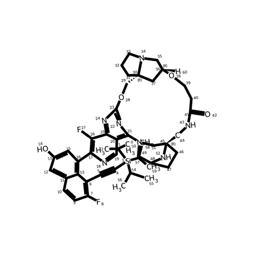 CC(C)[Si](C#Cc1c(F)ccc2cc(O)cc(-c3ncc4c5nc(nc4c3F)OC[C@]34CCCN3C[C@@H](C4)OCCC(=O)NC[C@]34CCC(CN5C3)N4)c12)(C(C)C)C(C)C